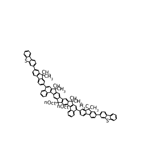 CCCCCCCCC1(CCCCCCCC)c2cc3c(cc2-c2cc4c(cc21)-c1c(cc(-c2ccc5c(c2)C(C)(C)c2cc(-c6ccc7c(c6)sc6ccccc67)ccc2-5)c2ccccc12)C4(C)C)C(C)(C)c1cc(-c2ccc4c(c2)C(C)(C)c2cc(-c5ccc6c(c5)sc5ccccc56)ccc2-4)c2ccccc2c1-3